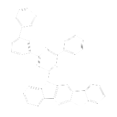 c1ccc(-c2nc(-c3cccc4c3oc3ccccc34)nc(-n3c4ccccc4c4cc5oc6ccccc6c5cc43)n2)cc1